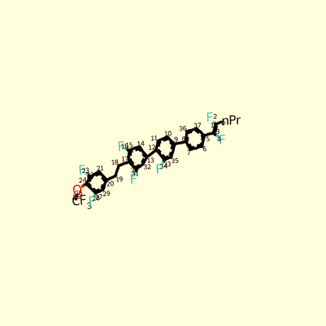 CCC/C(F)=C(\F)c1ccc(-c2ccc(-c3cc(F)c(CCc4cc(F)c(OC(F)(F)F)c(F)c4)c(F)c3)c(F)c2)cc1